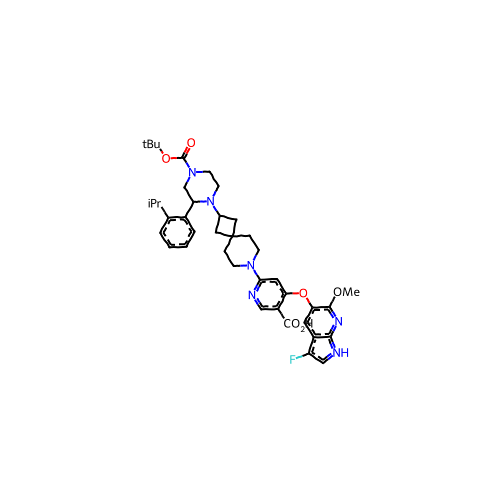 COc1nc2[nH]cc(F)c2cc1Oc1cc(N2CCC3(CC2)CC(N2CCN(C(=O)OC(C)(C)C)CC2c2ccccc2C(C)C)C3)ncc1C(=O)O